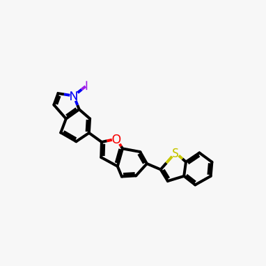 In1ccc2ccc(-c3cc4ccc(-c5cc6ccccc6s5)cc4o3)cc21